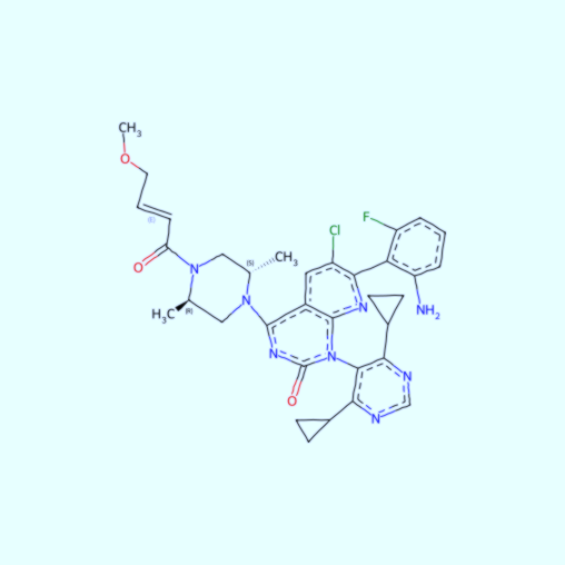 COC/C=C/C(=O)N1C[C@H](C)N(c2nc(=O)n(-c3c(C4CC4)ncnc3C3CC3)c3nc(-c4c(N)cccc4F)c(Cl)cc23)C[C@H]1C